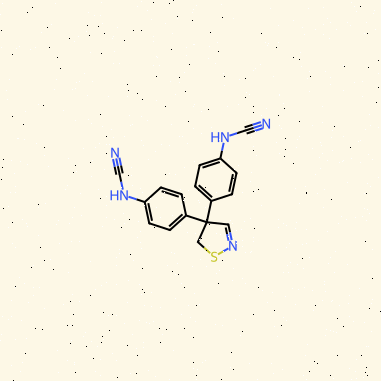 N#CNc1ccc(C2(c3ccc(NC#N)cc3)C=NSC2)cc1